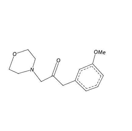 COc1cccc(CC(=O)CN2CCOCC2)c1